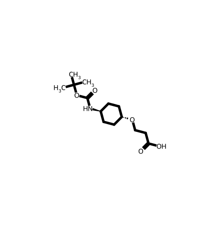 CC(C)(C)OC(=O)N[C@H]1CC[C@H](OCCC(=O)O)CC1